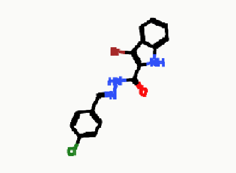 O=C(NN=Cc1ccc(Cl)cc1)c1[nH]c2ccccc2c1Br